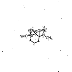 CCCC1(OC)C(N(C)N)CCC[Si]1(OC)OC